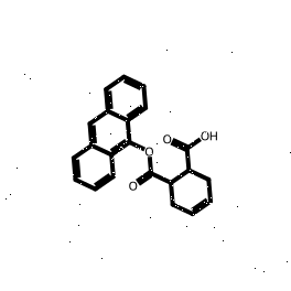 O=C(O)C1CC=CCC1C(=O)Oc1c2ccccc2cc2ccccc12